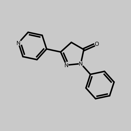 O=C1CC(c2ccncc2)=NN1c1ccccc1